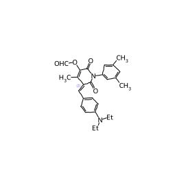 CCN(CC)c1ccc(/C=C2\C(=O)N(c3cc(C)cc(C)c3)C(=O)C(OC=O)=C2C)cc1